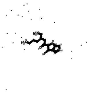 CCCCC(CC)CC(=O)[C]1Sc2cscc2[C]1F